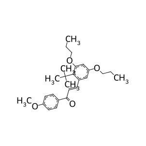 CCCOc1cc(C=CC(=O)c2ccc(OC)cc2)c(C(C)(C)C)c(OCCC)c1